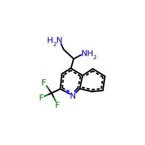 NCC(N)c1cc(C(F)(F)F)nc2ccccc12